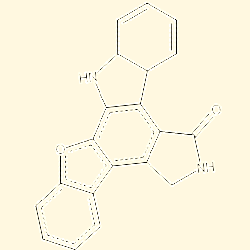 O=C1NCc2c1c1c(c3oc4ccccc4c23)NC2C=CC=CC12